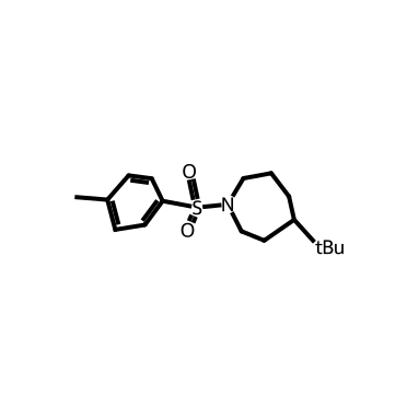 Cc1ccc(S(=O)(=O)N2CCCC(C(C)(C)C)CC2)cc1